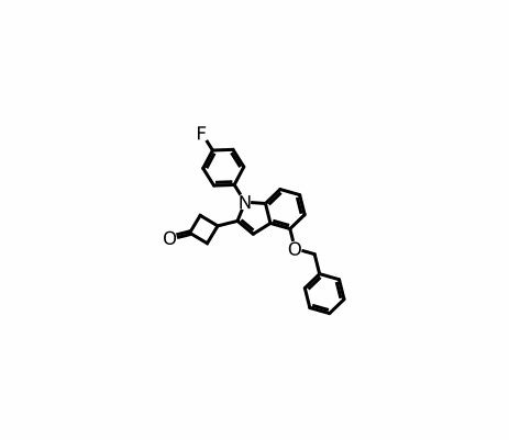 O=C1CC(c2cc3c(OCc4ccccc4)cccc3n2-c2ccc(F)cc2)C1